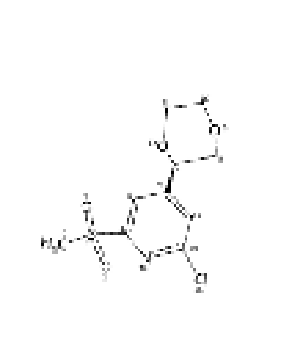 CS(=O)(=O)c1cc([C@@H]2COCCO2)cc(Cl)n1